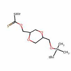 CSC(=S)OCC1COC(CO[Si](C)(C)C(C)(C)C)CO1